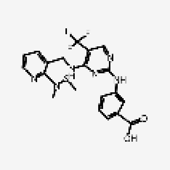 CSN(C)c1ncccc1CNc1nc(Nc2cccc(C(=O)O)c2)ncc1C(F)(F)F